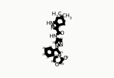 CC1(C)CCc2c(C(=O)Nc3cnn(C(CN4CCOCC4=O)c4ccccc4)c3)n[nH]c2C1